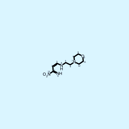 N=C(/C=C\NCCN1CCOCC1)[N+](=O)[O-]